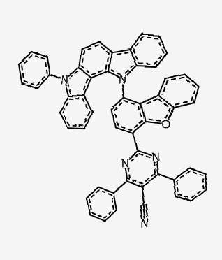 N#Cc1c(-c2ccccc2)nc(-c2ccc(-n3c4ccccc4c4ccc5c(c6ccccc6n5-c5ccccc5)c43)c3c2oc2ccccc23)nc1-c1ccccc1